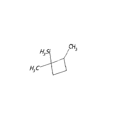 CC1CCC1(C)[SiH3]